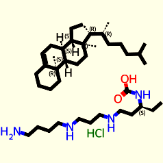 CC(C)CCC[C@@H](C)[C@H]1CC[C@H]2[C@@H]3CC=C4CCCC[C@]4(C)[C@H]3CC[C@]12C.CC[C@@H](CCNCCCNCCCCN)NC(=O)O.Cl